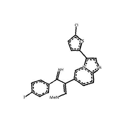 CN/C=C(\C(=N)c1ccc(F)cc1)c1ccc2ncc(-c3ccc(Cl)s3)n2c1